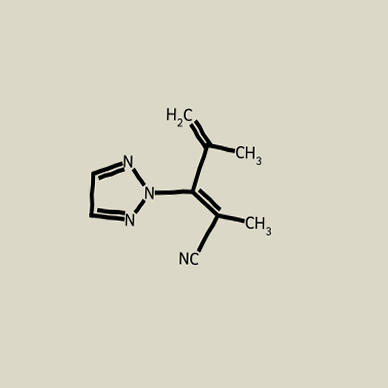 C=C(C)/C(=C(\C)C#N)n1nccn1